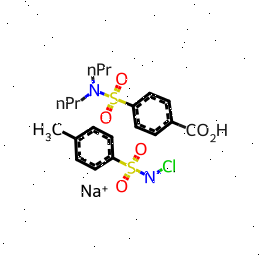 CCCN(CCC)S(=O)(=O)c1ccc(C(=O)O)cc1.Cc1ccc(S(=O)(=O)[N-]Cl)cc1.[Na+]